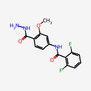 COc1cc(NC(=O)c2c(F)cccc2F)ccc1C(=O)NN